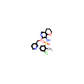 Cc1c(Cl)cccc1S(=O)(=O)Nc1c(OCc2cccnc2)ncc2c1OCCC2